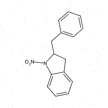 O=[N+]([O-])N1c2ccccc2CC1Cc1ccccc1